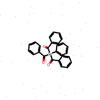 O=[C](c1ccccc1)[Sn]([C](=O)c1ccccc1)([C](=O)c1ccccc1)[c]1ccccc1